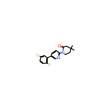 CC1(C)CCN(c2ccc(-c3cc(F)ccc3F)cn2)C(=O)C1